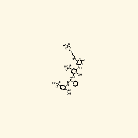 C=CS(=O)(=O)CCOCCNc1nc(F)nc(Nc2cc(S(=O)(=O)O)cc(N/N=C(/N=N/c3cc(S(=O)(=O)O)ccc3C(=O)O)c3ccccc3)c2O)n1